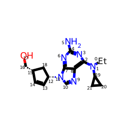 CCN(c1nc(N)nc2c1ncn2[C@@H]1C=C[C@H](CO)C1)C1CC1